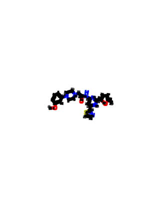 COc1cccc(N2CCN(CC(=O)Nc3cc(-c4nccs4)nc(-c4ccc(C)o4)n3)CC2)c1